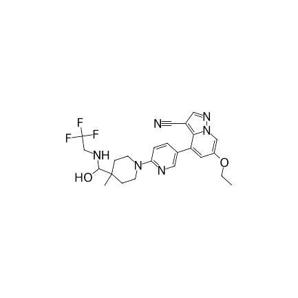 CCOc1cc(-c2ccc(N3CCC(C)(C(O)NCC(F)(F)F)CC3)nc2)c2c(C#N)cnn2c1